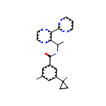 COC1(c2cc(C(=O)NC(C)c3nccnc3-c3ncccn3)cc(C(F)(F)F)c2)CC1